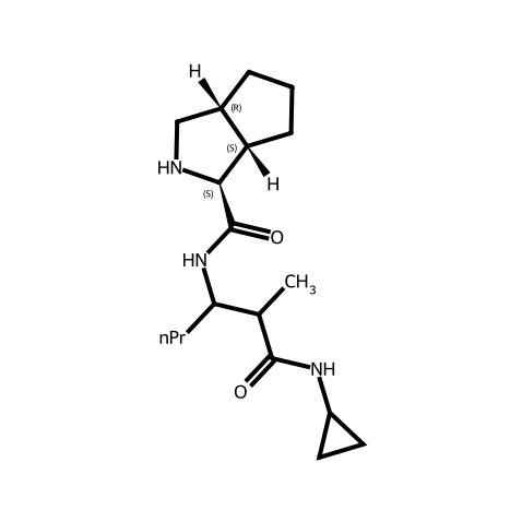 CCCC(NC(=O)[C@H]1NC[C@@H]2CCC[C@@H]21)C(C)C(=O)NC1CC1